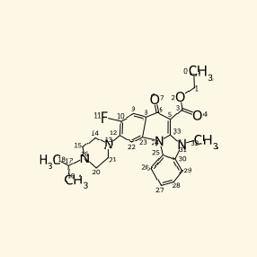 CCOC(=O)c1c(=O)c2cc(F)c(N3CCN(C(C)C)CC3)cc2n2c3ccccc3n(C)c12